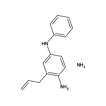 C=CCc1cc(Nc2ccccc2)ccc1N.N